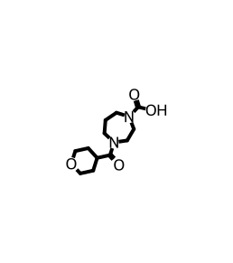 O=C(O)N1CCCN(C(=O)C2CCOCC2)CC1